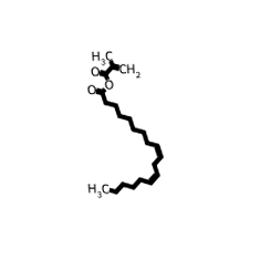 C=C(C)C(=O)OC(=O)CCCCCCC/C=C\C/C=C\CCCCC